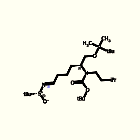 CC(C)CCN(C(=O)OC(C)(C)C)[C@@H](CCC/C=N/[S@+]([O-])C(C)(C)C)CO[Si](C)(C)C(C)(C)C